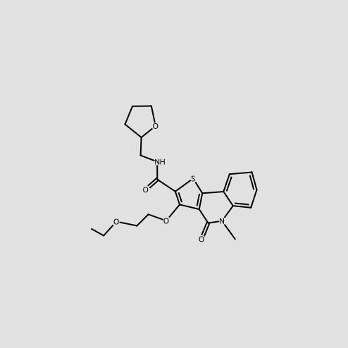 CCOCCOc1c(C(=O)NCC2CCCO2)sc2c1c(=O)n(C)c1ccccc21